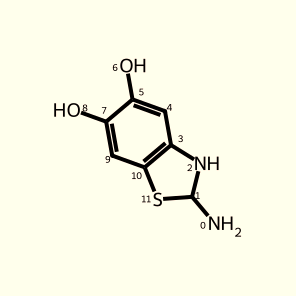 NC1Nc2cc(O)c(O)cc2S1